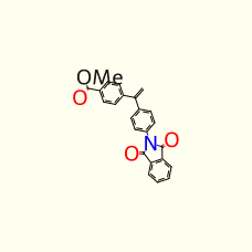 C=C(c1ccc(C(=O)OC)cc1)c1ccc(N2C(=O)c3ccccc3C2=O)cc1